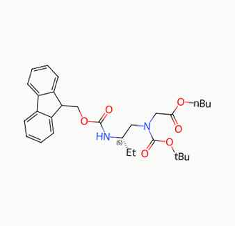 CCCCOC(=O)CN(C[C@H](CC)NC(=O)OCC1c2ccccc2-c2ccccc21)C(=O)OC(C)(C)C